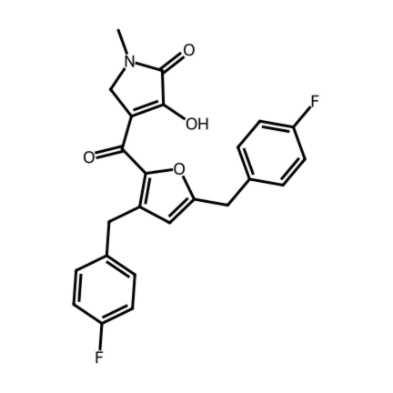 CN1CC(C(=O)c2oc(Cc3ccc(F)cc3)cc2Cc2ccc(F)cc2)=C(O)C1=O